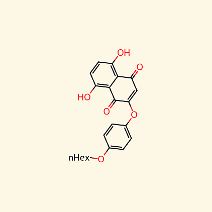 CCCCCCOc1ccc(OC2=CC(=O)c3c(O)ccc(O)c3C2=O)cc1